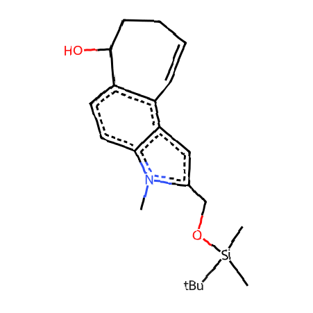 Cn1c(CO[Si](C)(C)C(C)(C)C)cc2c3c(ccc21)C(O)CCC=C3